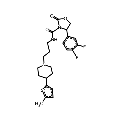 Cc1ccc(C2CCN(CCCNC(=O)N3C(=O)OCC3c3ccc(F)c(F)c3)CC2)s1